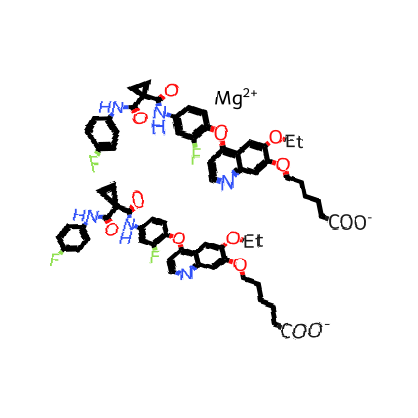 CCOc1cc2c(Oc3ccc(NC(=O)C4(C(=O)Nc5ccc(F)cc5)CC4)cc3F)ccnc2cc1OCCCCCC(=O)[O-].CCOc1cc2c(Oc3ccc(NC(=O)C4(C(=O)Nc5ccc(F)cc5)CC4)cc3F)ccnc2cc1OCCCCCC(=O)[O-].[Mg+2]